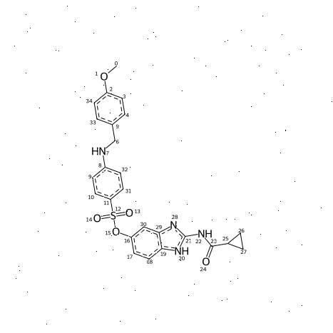 COc1ccc(CNc2ccc(S(=O)(=O)Oc3ccc4[nH]c(NC(=O)C5CC5)nc4c3)cc2)cc1